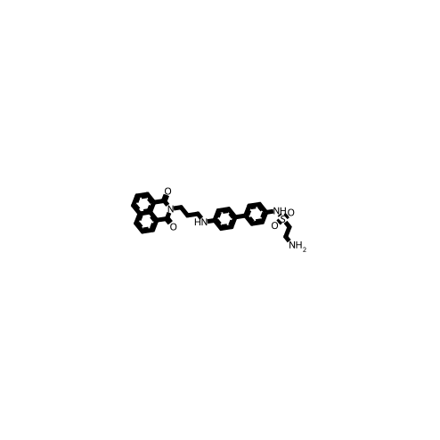 NCCS(=O)(=O)Nc1ccc(-c2ccc(NCCCN3C(=O)c4cccc5cccc(c45)C3=O)cc2)cc1